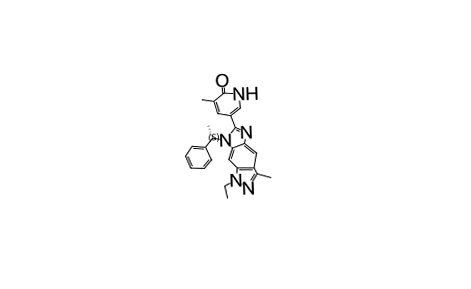 CCn1nc(C)c2cc3nc(-c4c[nH]c(=O)c(C)c4)n([C@@H](C)c4ccccc4)c3cc21